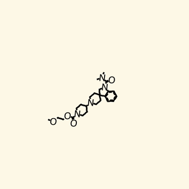 COCCOC(=O)N1CCC(N2CCC3(CC2)CN(C(=O)N(C)C)c2ccccc23)CC1